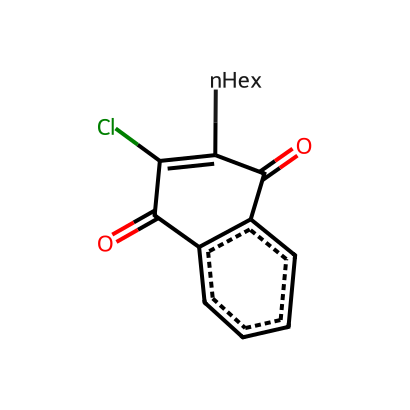 CCCCCCC1=C(Cl)C(=O)c2ccccc2C1=O